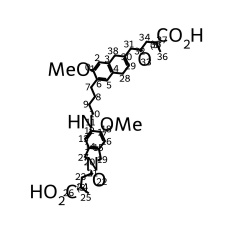 COc1cc2c(cc1CCCCNc1cc3c(cc1OC)CN(C(=O)C[C@H](C)C(=O)O)C3)CC=C(CC(=O)C[C@H](C)C(=O)O)C2